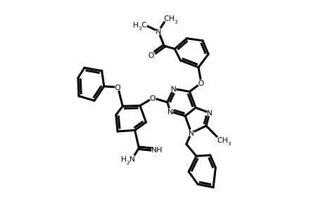 Cc1nc2c(Oc3cccc(C(=O)N(C)C)c3)nc(Oc3cc(C(=N)N)ccc3Oc3ccccc3)nc2n1Cc1ccccc1